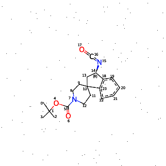 CC(C)(C)OC(=O)N1CCC2(CC1)C[C@@H](N=C=O)c1ccccc12